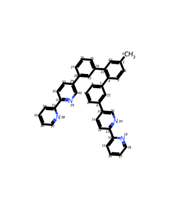 Cc1ccc(-c2cccc(-c3ccc(-c4ccccn4)nc3)c2)c(-c2cccc(-c3ccc(-c4ccccn4)nc3)c2)c1